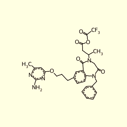 Cc1cc(OCCCc2ccc3c(c2)C(=O)N(C(C)CC(=O)OC(=O)C(F)(F)F)CC(=O)N3Cc2ccccc2)nc(N)n1